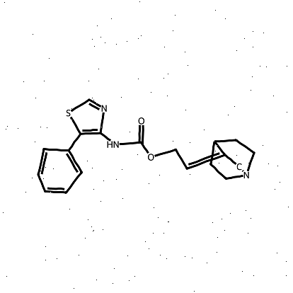 O=C(Nc1ncsc1-c1ccccc1)OCC=C1CN2CCC1CC2